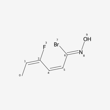 C\C=C(F)/C=C\C(Br)=N\O